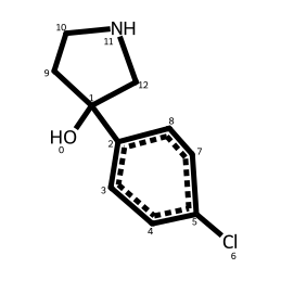 OC1(c2ccc(Cl)cc2)CCNC1